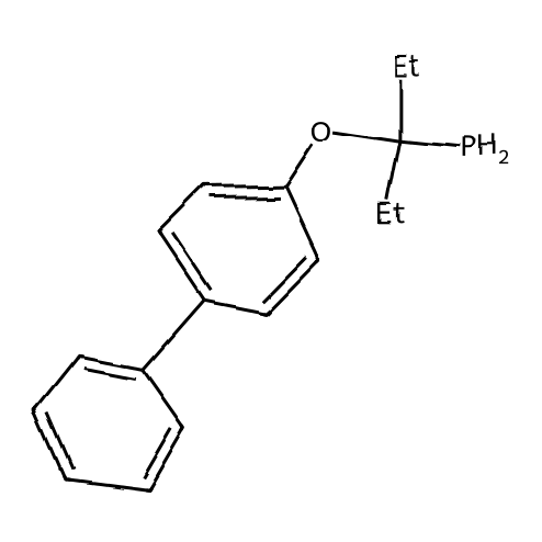 CCC(P)(CC)Oc1ccc(-c2ccccc2)cc1